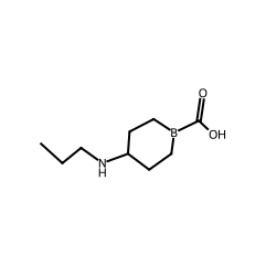 CCCNC1CCB(C(=O)O)CC1